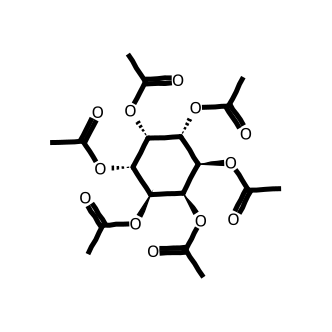 CC(=O)O[C@H]1[C@H](OC(C)=O)[C@H](OC(C)=O)[C@H](OC(C)=O)[C@@H](OC(C)=O)[C@H]1OC(C)=O